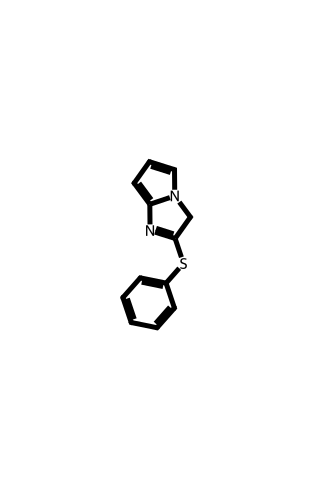 c1ccc(SC2=Nc3cccn3C2)cc1